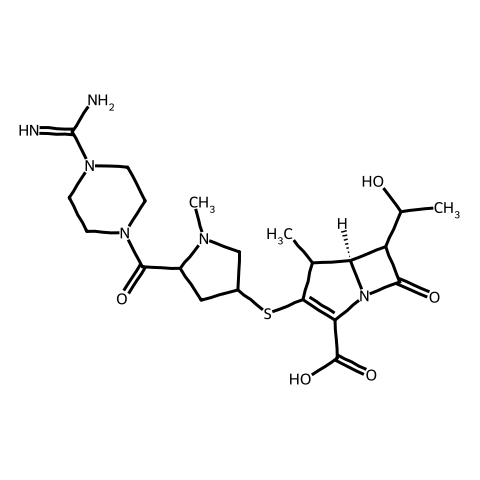 CC(O)C1C(=O)N2C(C(=O)O)=C(SC3CC(C(=O)N4CCN(C(=N)N)CC4)N(C)C3)C(C)[C@@H]12